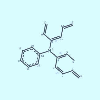 C=C/C=C\C(=C/C)N(/C(C=C)=C/C=C)c1ccccc1